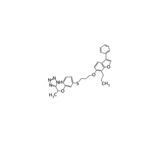 CCCc1c(OCCCSc2cccc(OC(C)c3nnn[nH]3)c2)ccc2c(-c3ccccc3)coc12